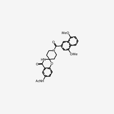 COc1cc(C(=O)N2CCC3(CC2)NC(=O)c2cc(NC(C)=O)ccc2O3)cc2c(OC)cccc12